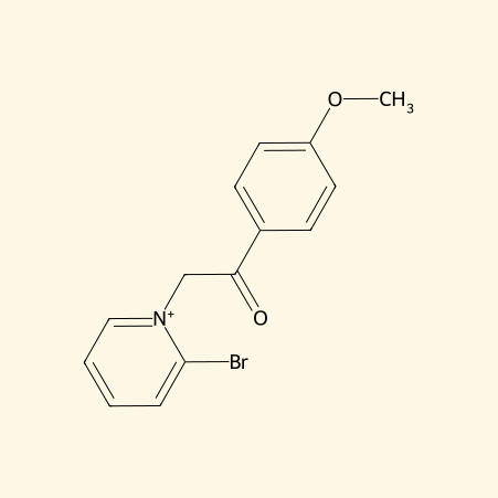 COc1ccc(C(=O)C[n+]2ccccc2Br)cc1